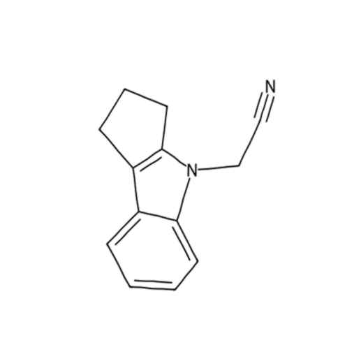 N#CCn1c2c(c3ccccc31)CCC2